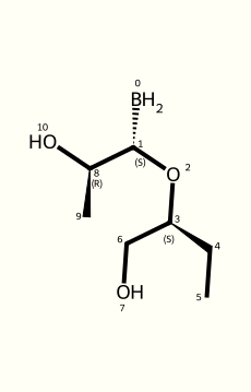 B[C@H](O[C@@H](CC)CO)[C@@H](C)O